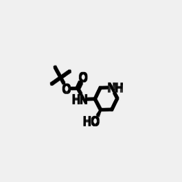 CC(C)(C)OC(=O)NC1CNCC[C@H]1O